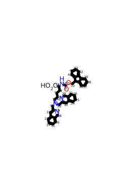 O=C(NC(CCCCN(Cc1cc2ccccc2cn1)Cc1cc2ccccc2cn1)C(=O)O)OCC1c2ccccc2-c2ccccc21